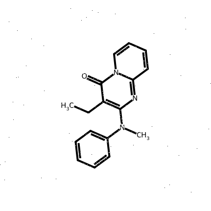 CCc1c(N(C)c2ccccc2)nc2ccccn2c1=O